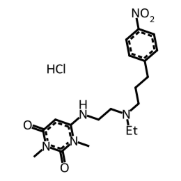 CCN(CCCc1ccc([N+](=O)[O-])cc1)CCNc1cc(=O)n(C)c(=O)n1C.Cl